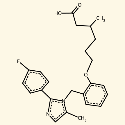 Cc1cnc(-c2ccc(F)cc2)n1Cc1ccccc1OCCCC(C)CC(=O)O